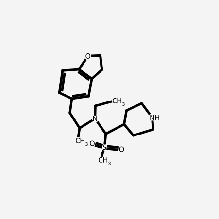 CCN(C(C)Cc1ccc2c(c1)CCO2)C(C1CCNCC1)S(C)(=O)=O